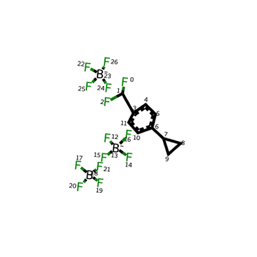 FC(F)c1ccc(C2CC2)cc1.F[B-](F)(F)F.F[B-](F)(F)F.F[B-](F)(F)F